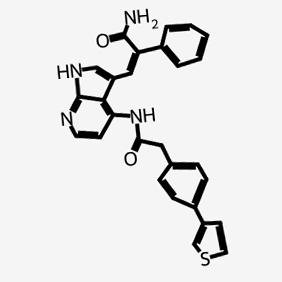 NC(=O)C(=Cc1c[nH]c2nccc(NC(=O)Cc3ccc(-c4ccsc4)cc3)c12)c1ccccc1